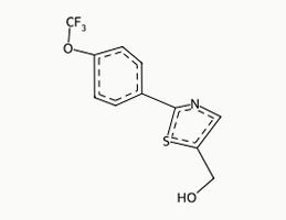 OCc1cnc(-c2ccc(OC(F)(F)F)cc2)s1